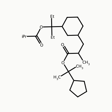 CCC(CC)(OC(=O)C(C)C)C1CCCC(CC(C)C(=O)OC(C)(C)C2CCCC2)C1